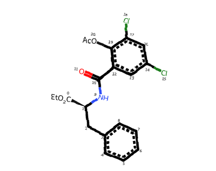 CCOC(=O)[C@H](Cc1ccccc1)NC(=O)c1cc(Cl)cc(Cl)c1OC(C)=O